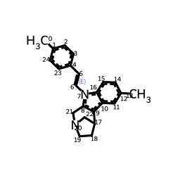 Cc1ccc(/C=C/n2c3c(c4cc(C)ccc42)C2CCN(C3)C2)cc1